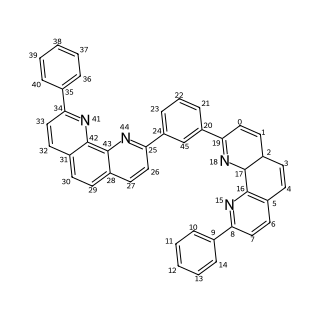 C1=CC2C=Cc3ccc(-c4ccccc4)nc3C2N=C1c1cccc(-c2ccc3ccc4ccc(-c5ccccc5)nc4c3n2)c1